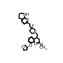 COC(=O)CC(CN1CC[C@@](F)(CCc2ccc3c(n2)NCCC3)C1)c1cccc(O[C@@H]2CCOC2)c1